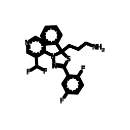 NCCCC1(c2ccccc2)SC(c2cc(F)ccc2F)=NN1c1ccncc1C(F)F